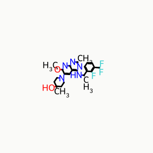 COc1nc2nc(C)nc(N[C@H](C)c3cccc(C(F)F)c3F)c2cc1N1CCC(C)(O)CC1